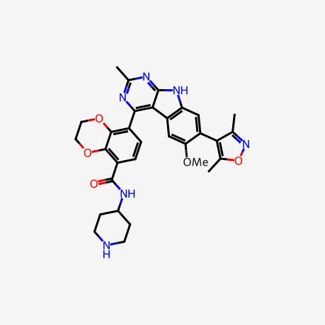 COc1cc2c(cc1-c1c(C)noc1C)[nH]c1nc(C)nc(-c3ccc(C(=O)NC4CCNCC4)c4c3OCCO4)c12